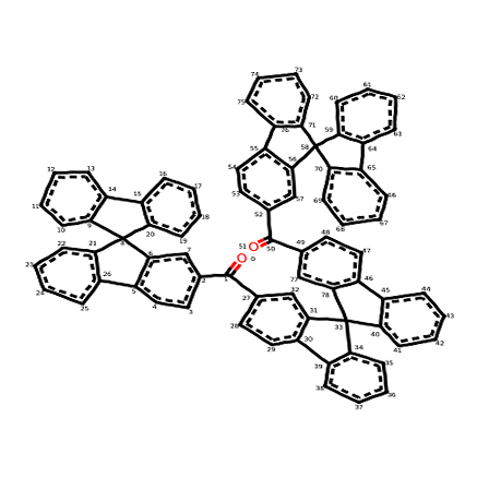 O=C(c1ccc2c(c1)C1(c3ccccc3-c3ccccc31)c1ccccc1-2)c1ccc2c(c1)C1(c3ccccc3-2)c2ccccc2-c2ccc(C(=O)c3ccc4c(c3)C3(c5ccccc5-c5ccccc53)c3ccccc3-4)cc21